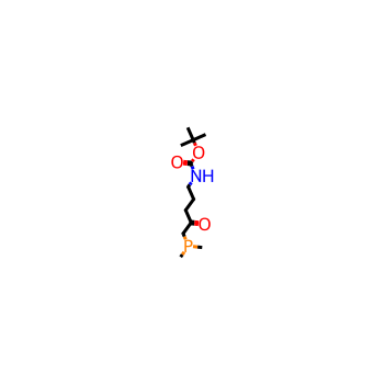 CP(C)CC(=O)CCCNC(=O)OC(C)(C)C